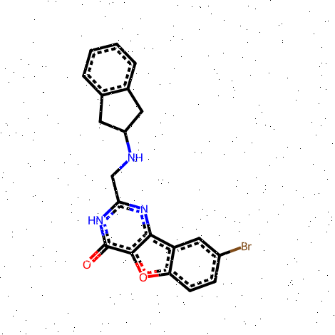 O=c1[nH]c(CNC2Cc3ccccc3C2)nc2c1oc1ccc(Br)cc12